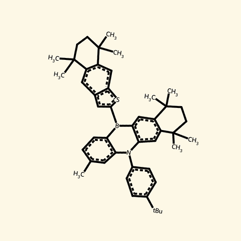 Cc1ccc2c(c1)N(c1ccc(C(C)(C)C)cc1)c1cc3c(cc1B2c1cc2cc4c(cc2s1)C(C)(C)CCC4(C)C)C(C)(C)CCC3(C)C